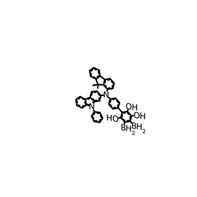 Bc1c(B)c(O)c(-c2ccc(N(c3ccc4c5ccccc5n(-c5ccccc5)c4c3)c3cccc4c3C(C)(C)c3ccccc3-4)cc2)c(O)c1O